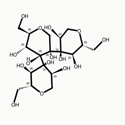 OC[C@H]1OC[C@H](O)[C@@](O)([C@]2(O)[CH]O[C@H](CO)[C@@H](O)[C@@]2(O)[C@@]2(O)[C@H](O)[C@@H](CO)OC[C@@H]2O)[C@@H]1O